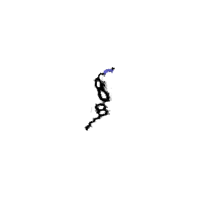 C/C=C/CCc1ccc2cc([C@@H]3CC[C@@H]4CC(CCCCCCC)CCC4C3)ccc2c1F